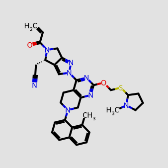 C=CC(=O)N1Cc2nn(-c3nc(OCSC4CCCN4C)nc4c3CCN(c3cccc5cccc(C)c35)C4)cc2[C@@H]1CC#N